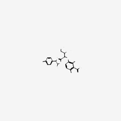 BC1OC(C(Oc2ccc(F)c(C(N)=O)c2F)C(COC(C)=O)OC(C)=O)=NC1c1ccc(C)cc1